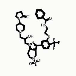 CS(=O)(=O)N1CCc2c(c(-c3ccc(C(F)(F)F)c(SCCNC(=O)c4ccccc4)c3)nn2CC(O)CN2CCC(N3CCCC3=O)CC2)C1